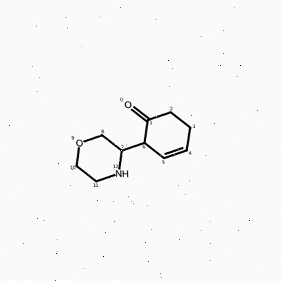 O=C1CCC=CC1C1COCCN1